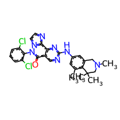 Cc1cc(Nc2ncc3c(=O)n(-c4c(Cl)cccc4Cl)n4ccnc4c3n2)cc2c1C(C)(C)CN(C)C2